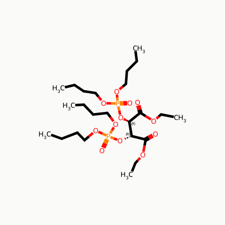 CCCCOP(=O)(OCCCC)O[C@@H](C(=O)OCC)[C@@H](OP(=O)(OCCCC)OCCCC)C(=O)OCC